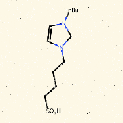 CCCCN1C=CN(CCCCS(=O)(=O)O)C1